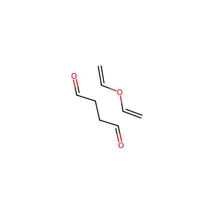 C=COC=C.O=CCCC=O